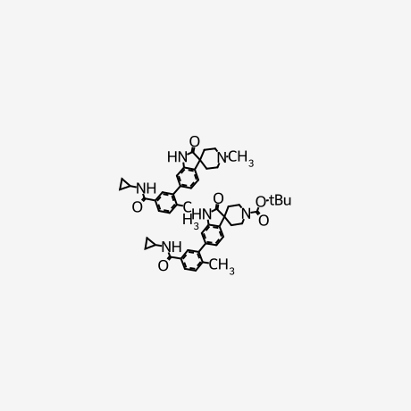 Cc1ccc(C(=O)NC2CC2)cc1-c1ccc2c(c1)NC(=O)C21CCN(C(=O)OC(C)(C)C)CC1.Cc1ccc(C(=O)NC2CC2)cc1-c1ccc2c(c1)NC(=O)C21CCN(C)CC1